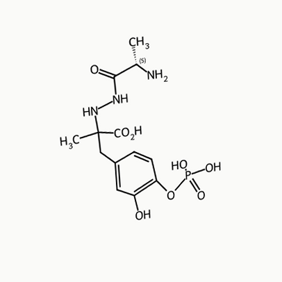 C[C@H](N)C(=O)NNC(C)(Cc1ccc(OP(=O)(O)O)c(O)c1)C(=O)O